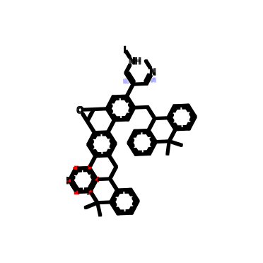 C/N=C\C(=C/NI)c1cc2c(cc1CC1c3ccccc3C(C)(C)c3ccccc31)-c1cc(CC3c4ccccc4C(C)(C)c4ccccc43)c(-c3cncnc3)cc1C1OC21